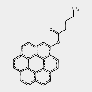 CCCCC(=O)Oc1cc2ccc3ccc4ccc5ccc6ccc1c1c6c5c4c3c21